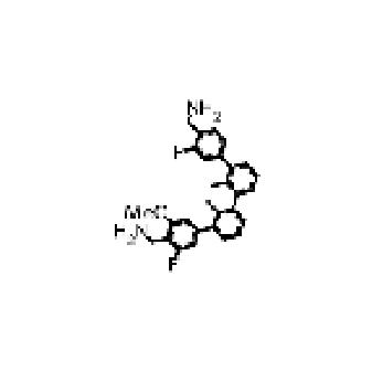 COc1cc(-c2cccc(-c3cccc(-c4ccc(CN)c(F)c4)c3C)c2C)cc(F)c1CN